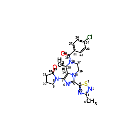 Cc1nsc(-c2nc(N3CCCC3=O)c3n2CCN(C(=O)c2ccc(Cl)cc2)[C@@H]3C)n1